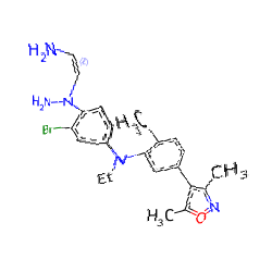 CCN(c1ccc(N(N)/C=C\N)c(Br)c1)c1cc(-c2c(C)noc2C)ccc1C